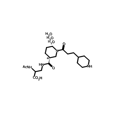 CC(=O)NC(CNC(=O)[C@@H]1CCCN(C(=O)CCC2CCNCC2)C1)C(=O)O.O.O.O